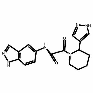 O=C(Nc1ccc2[nH]ncc2c1)C(=O)N1CCCCC1c1cn[nH]c1